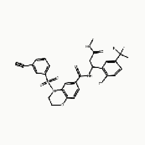 C#Cc1cccc(S(=O)(=O)N2CCOc3ccc(C(=O)NC(CC(=O)NC)c4cc(C(F)(F)F)ccc4Cl)cc32)c1